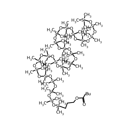 CCC(C)C(=O)OCCC[Si](C)(C)O[Si](C)(C)O[Si](C)(C)O[Si](C)(C)O[Si](C)(C)O[Si](C)(C)O[Si](C)(C)O[Si](C)(C)O[Si](C)(C)O[Si](C)(C)O[Si](C)(C)O[Si](C)(C)O[Si](C)(C)O[Si](C)(C)O[Si](C)(C)O[Si](C)(C)O[Si](C)(C)O[Si](C)(C)O[Si](C)(C)O[Si](C)(C)O[Si](C)(C)C